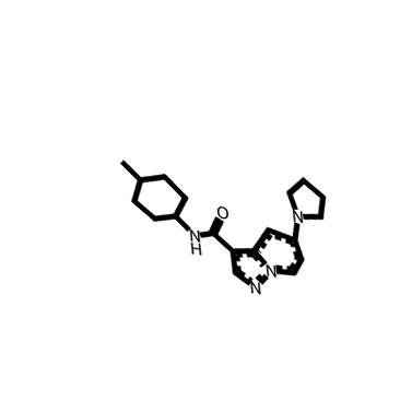 CC1CCC(NC(=O)c2cnn3ccc(N4CCCC4)cc23)CC1